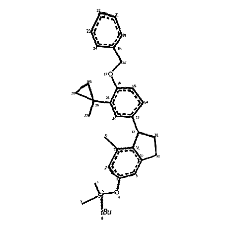 Cc1cc(O[Si](C)(C)C(C)(C)C)cc2c1C(c1ccc(OCc3ccccc3)c(C3(C)CC3)c1)CC2